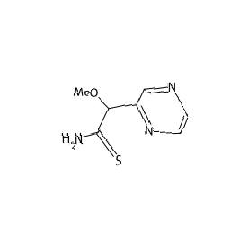 COC(C(N)=S)c1cnccn1